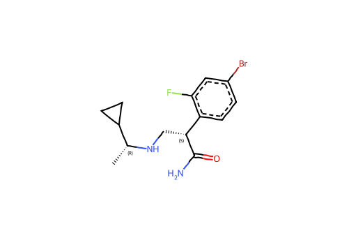 C[C@@H](NC[C@@H](C(N)=O)c1ccc(Br)cc1F)C1CC1